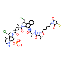 CCC1(C(=O)N2CC(CCl)c3c2cc(NC(=O)C(C)NC(=O)C(NC(=O)CCCCCN2C(=O)CC(SC)C2=O)C(C)C)c2ccccc32)CC(C)(C(=O)N2CC(CCl)c3c2cc(OP(O)O)c2c3C(C)=CCN2)C1